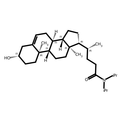 CC(C)N(C(=O)CC[C@@H](C)[C@H]1CC[C@H]2[C@@H]3CC=C4C[C@@H](O)CC[C@]4(C)[C@H]3CC[C@]12C)C(C)C